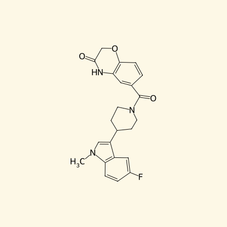 Cn1cc(C2CCN(C(=O)c3ccc4c(c3)NC(=O)CO4)CC2)c2cc(F)ccc21